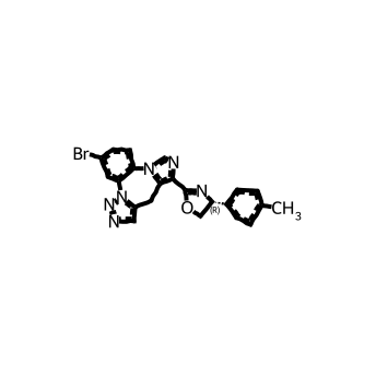 Cc1ccc([C@@H]2COC(c3ncn4c3Cc3cnnn3-c3cc(Br)ccc3-4)=N2)cc1